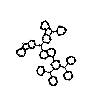 c1ccc(N(c2ccccc2)c2cc(-c3cccc4c(N(c5ccc6sc7ccccc7c6c5)c5ccc6c(c5)c5ccccc5n6-c5ccccc5)cccc34)cc(N(c3ccccc3)c3ccccc3)c2)cc1